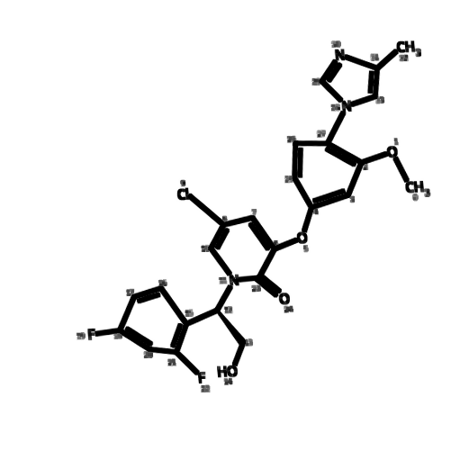 COc1cc(Oc2cc(Cl)cn([C@@H](CO)c3ccc(F)cc3F)c2=O)ccc1-n1cnc(C)c1